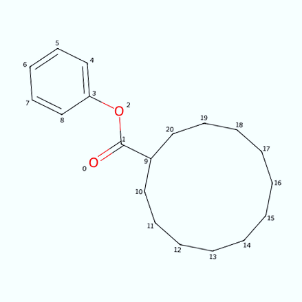 O=C(Oc1ccccc1)C1CCCCCCCCCCC1